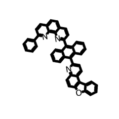 c1ccc(-c2ccc3ccc4ccc(-c5c6ccccc6c(-c6ccc7c(ccc8oc9ccccc9c87)n6)c6ccccc56)nc4c3n2)cc1